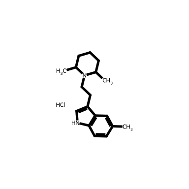 Cc1ccc2[nH]cc(CCN3C(C)CCCC3C)c2c1.Cl